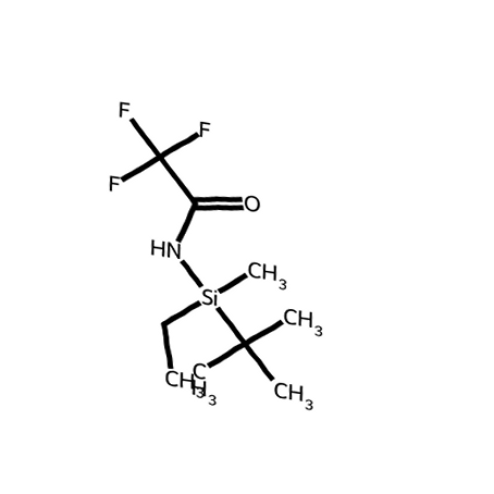 CC[Si](C)(NC(=O)C(F)(F)F)C(C)(C)C